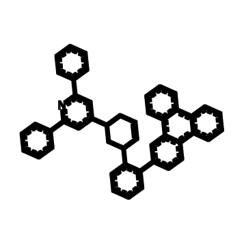 C1=CC(c2ccccc2-c2ccc3c4ccccc4c4ccccc4c3c2)CC(c2cc(-c3ccccc3)nc(-c3ccccc3)c2)C1